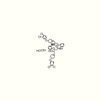 Cl.Cl.Nc1ccccc1OC(CC(=O)Nc1ccccc1OCC(O)CN1CCC(Oc2ccc(Cl)c(Cl)c2)CC1)C(O)CN1CCC(Oc2ccc(Cl)c(Cl)c2)CC1